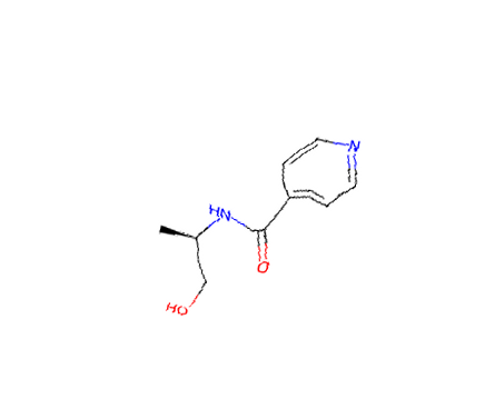 C[C@H](CO)NC(=O)c1ccncc1